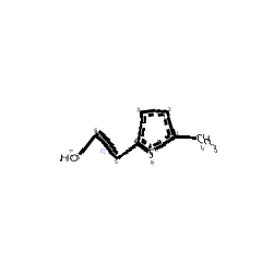 Cc1ccc(/C=C/O)s1